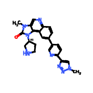 Cn1cc(-c2ccc(-c3ccc4ncc5c(c4c3)n([C@H]3CCNC3)c(=O)n5C)cn2)nn1